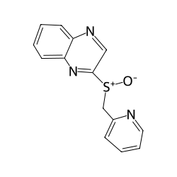 [O-][S+](Cc1ccccn1)c1cnc2ccccc2n1